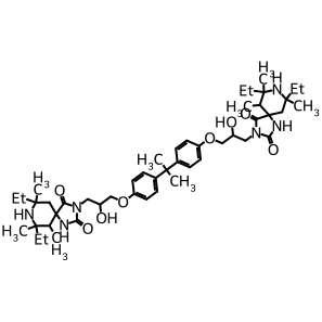 CCC1(C)CC2(NC(=O)N(CC(O)COc3ccc(C(C)(C)c4ccc(OCC(O)CN5C(=O)NC6(CC(C)(CC)NC(C)(CC)C6C)C5=O)cc4)cc3)C2=O)C(C)C(C)(CC)N1